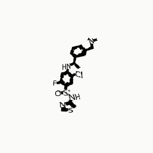 CC(Nc1cc(F)c([S+]([O-])Nc2cscn2)cc1Cl)c1cccc(CN(C)C)c1